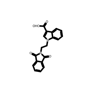 O=CC(=O)c1cn(CCN2C(=O)c3ccccc3C2=O)c2ccccc12